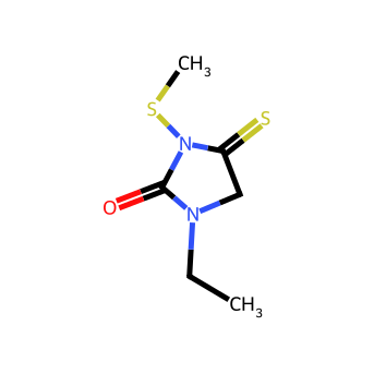 CCN1CC(=S)N(SC)C1=O